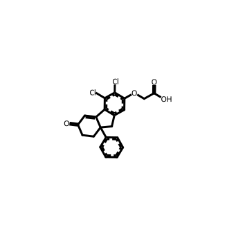 O=C(O)COc1cc2c(c(Cl)c1Cl)C1=CC(=O)CCC1(c1ccccc1)C2